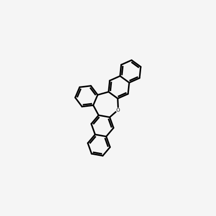 c1ccc2c(c1)-c1cc3ccccc3cc1Oc1cc3ccccc3cc1-2